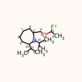 CC(F)OCC1CCCCC(C(C)C)N1C(C)C